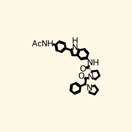 CC(=O)Nc1ccc(-c2cc3cc(NC(=O)[C@@H]4CCCN4C(=O)[C@@H](c4ccccc4)N4CCCC4)ccc3[nH]2)cc1